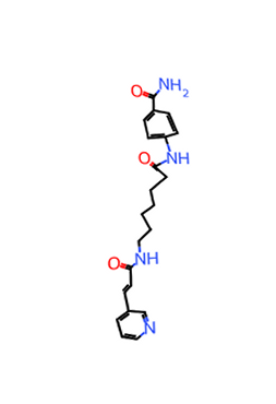 NC(=O)c1ccc(NC(=O)CCCCCCNC(=O)/C=C/c2cccnc2)cc1